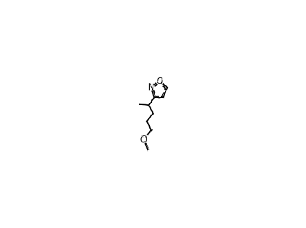 COCCCC(C)c1ccon1